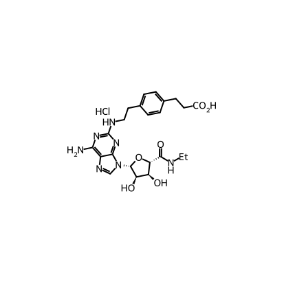 CCNC(=O)[C@H]1O[C@@H](n2cnc3c(N)nc(NCCc4ccc(CCC(=O)O)cc4)nc32)[C@H](O)[C@@H]1O.Cl